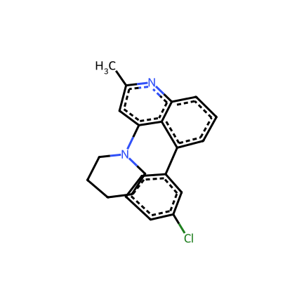 Cc1cc(N2CCCCC2)c2c(-c3cccc(Cl)c3)cccc2n1